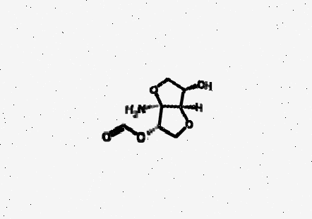 N[C@]12OC[C@@H](O)[C@@H]1OC[C@@H]2OC=O